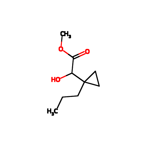 CCCC1(C(O)C(=O)OC)CC1